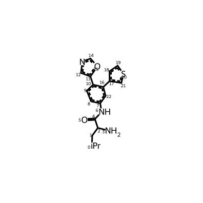 CC(C)CC(N)C(=O)Nc1ccc(-c2cnco2)c(-c2ccsc2)c1